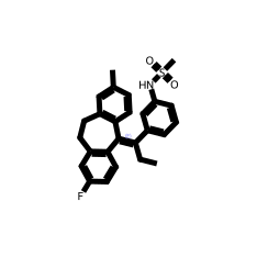 CC/C(=C1/c2ccc(C)cc2CCc2cc(F)ccc21)c1cccc(NS(C)(=O)=O)c1